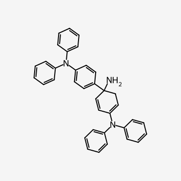 NC1(c2ccc(N(c3ccccc3)c3ccccc3)cc2)C=CC(N(c2ccccc2)c2ccccc2)=CC1